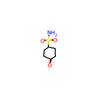 NS(=O)(=O)C1CCC(=O)CC1